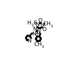 Cc1ccc(Cn2c(NCc3cccnc3)nc3c2c(=O)n(C)c(=O)n3C)cc1